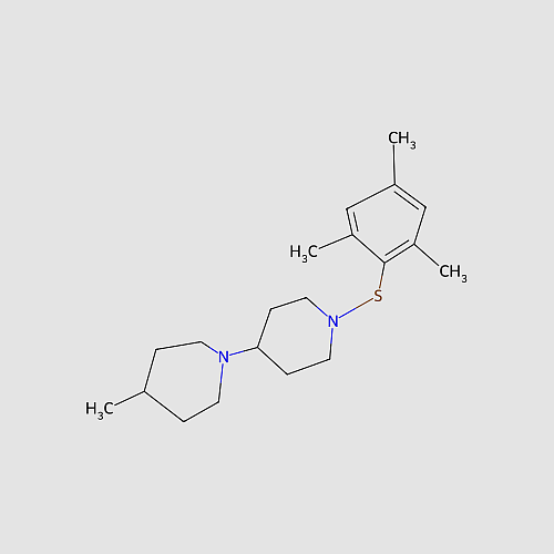 Cc1cc(C)c(SN2CCC(N3CCC(C)CC3)CC2)c(C)c1